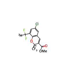 [2H]C(F)(F)c1cc(Cl)cc2c1O[C@H](C(F)(F)F)C(C(=O)OC)=C2